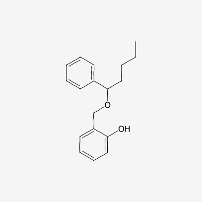 CCCCC(OCc1ccccc1O)c1ccccc1